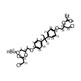 CCCCOCC(COc1ccc(C(C)(C)c2ccc(OCC(CCl)OC(=O)CC)cc2)cc1)OC(=O)CCl